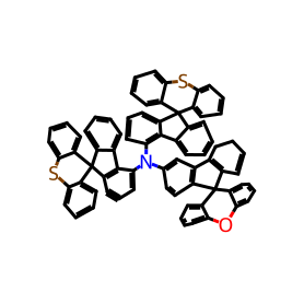 c1cc(N(c2ccc3c(c2)C2=C(C=CCC2)C32c3ccccc3Oc3ccccc32)c2cccc3c2-c2ccccc2C32c3ccccc3Sc3ccccc32)c2c(c#1)C1(c3ccccc3Sc3ccccc31)c1ccccc1-2